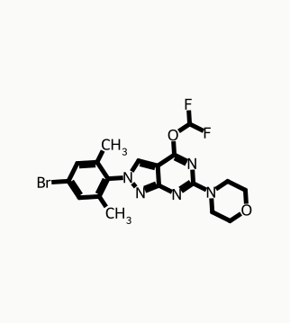 Cc1cc(Br)cc(C)c1-n1cc2c(OC(F)F)nc(N3CCOCC3)nc2n1